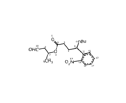 CCCCC(CCC(=O)OC(C)CC=O)c1ccccc1[N+](=O)[O-]